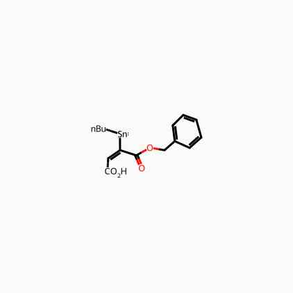 CCC[CH2][Sn]/[C](=C/C(=O)O)C(=O)OCc1ccccc1